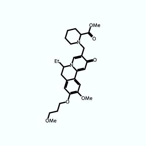 CCC1Cc2cc(OCCCOC)c(OC)cc2-c2cc(=O)c(CN3CCCCC3C(=O)OC)cn21